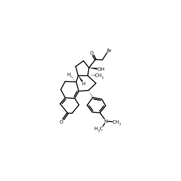 CN(C)c1ccc([C@H]2C[C@@]3(C)[C@@H](CC[C@]3(O)C(=O)CBr)[C@@H]3CCC4=CC(=O)CCC4=C32)cc1